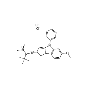 COc1ccc2c(c1)N(c1ccccc1)C1=C[CH]([Ti+2][N]([SiH](C)C)C(C)(C)C)CC12.[Cl-].[Cl-]